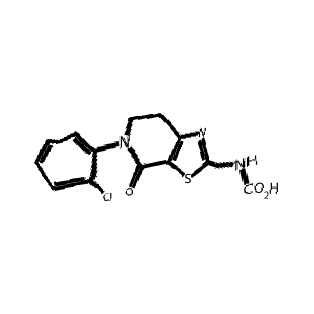 O=C(O)Nc1nc2c(s1)C(=O)N(c1ccccc1Cl)CC2